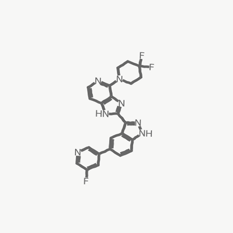 Fc1cncc(-c2ccc3[nH]nc(-c4nc5c(N6CCC(F)(F)CC6)nccc5[nH]4)c3c2)c1